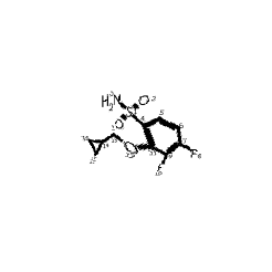 NS(=O)(=O)c1ccc(F)c(F)c1OCC1CC1